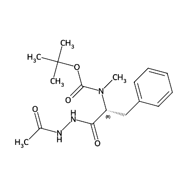 CC(=O)NNC(=O)[C@@H](Cc1ccccc1)N(C)C(=O)OC(C)(C)C